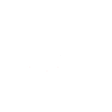 COC(=O)C(C)C1CCC(C)=CC1=O